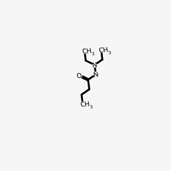 CCCC(=O)[N]N(CC)CC